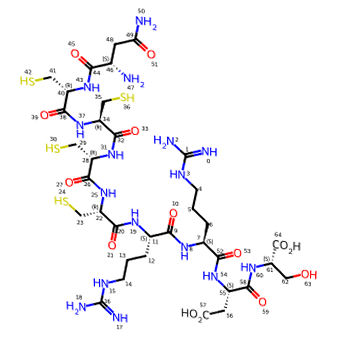 N=C(N)NCCC[C@H](NC(=O)[C@H](CCCNC(=N)N)NC(=O)[C@H](CS)NC(=O)[C@H](CS)NC(=O)[C@H](CS)NC(=O)[C@H](CS)NC(=O)[C@@H](N)CC(N)=O)C(=O)N[C@@H](CC(=O)O)C(=O)N[C@@H](CO)C(=O)O